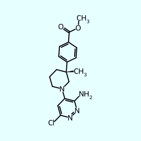 COC(=O)c1ccc([C@@]2(C)CCCN(c3cc(Cl)nnc3N)C2)cc1